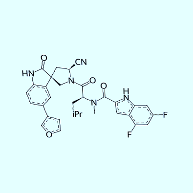 CC(C)C[C@@H](C(=O)N1C[C@]2(C[C@H]1C#N)C(=O)Nc1ccc(-c3ccoc3)cc12)N(C)C(=O)c1cc2c(F)cc(F)cc2[nH]1